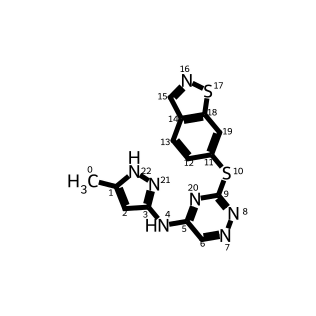 Cc1cc(Nc2cnnc(Sc3ccc4cnsc4c3)n2)n[nH]1